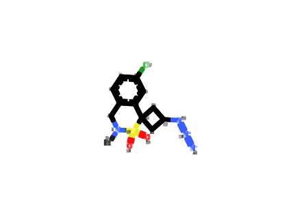 CCN1Cc2ccc(Cl)cc2C2(CC(N=[N+]=[N-])C2)S1(=O)=O